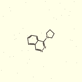 c1ccc2c(N3CCCC3)nncc2c1